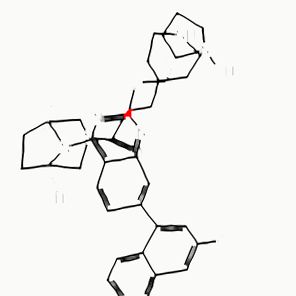 CN1CCC[C@H]1COc1nc(N2[C@@H]3CC[C@H]2CN(C(=O)CCC2CCNCC2)C3)c2ccc(-c3cc(O)cc4ccccc34)cc2n1